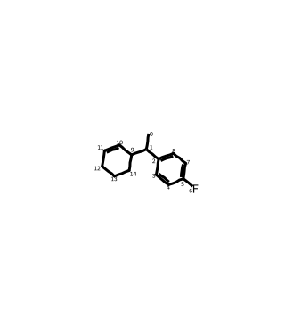 CC(c1ccc(F)cc1)C1C=CCCC1